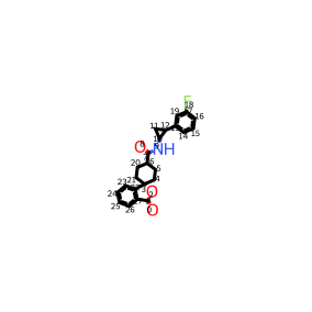 O=C1OC2(CCC(C(=O)NC3CC3c3cccc(F)c3)CC2)c2ccccc21